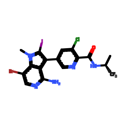 C[C@H](NC(=O)c1ncc(-c2c(I)n(C)c3c(Br)cnc(N)c23)cc1Cl)C(F)(F)F